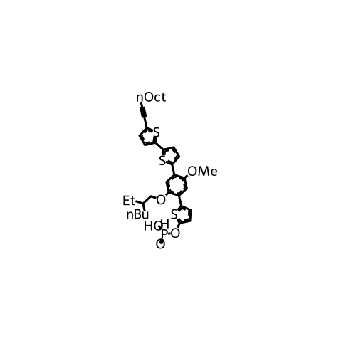 CCCCCCCCC#Cc1ccc(-c2ccc(-c3cc(OCC(CC)CCCC)c(-c4ccc(O[PH](=O)O)s4)cc3OC)s2)s1